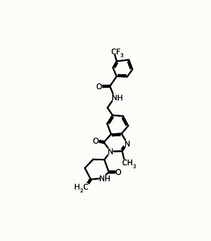 C=C1CCC(n2c(C)nc3ccc(CNC(=O)c4cccc(C(F)(F)F)c4)cc3c2=O)C(=O)N1